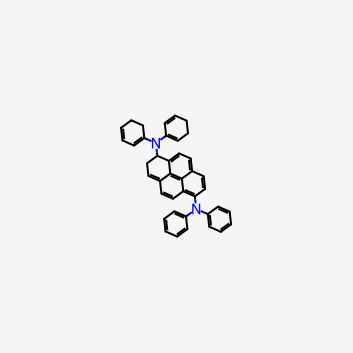 C1=CCCC(N(C2=CCCC=C2)C2CC=c3ccc4c(N(c5ccccc5)c5ccccc5)ccc5ccc2c3c54)=C1